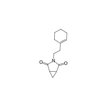 O=C1C2CC2C(=O)N1CCC1=CCCCC1